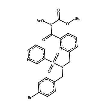 CC(=O)ON(C(=O)OC(C)(C)C)C(=O)c1cccc(CN(Cc2ccc(Br)cc2)S(=O)(=O)c2cccnc2)n1